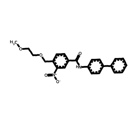 COCCOCc1ccc(C(=O)Nc2ccc(-c3ccccc3)cc2)cc1[N+](=O)[O-]